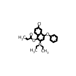 C=CC(=O)Oc1c(N(CC)CC)cc(Oc2ccccc2)c2cc(Cl)ccc12